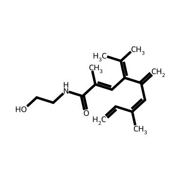 C=C/C(C)=C\C(=C)C(/C=C(\C)C(=O)NCCO)=C(C)C